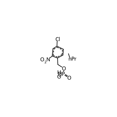 CCCC.O=[N+]([O-])c1cc(Cl)ccc1CO[PH](=O)O